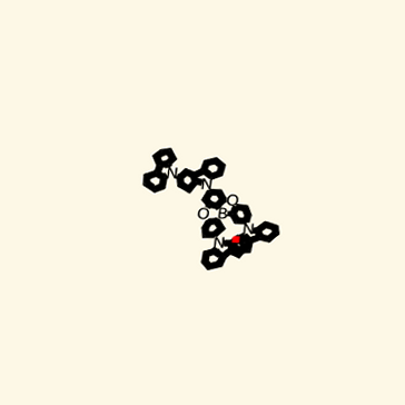 c1ccc2c(c1)c1ccccc1n2-c1ccc2c(c1)B1c3cc(-n4c5ccccc5c5ccccc54)ccc3Oc3cc(-n4c5ccccc5c5cc(-n6c7ccccc7c7ccccc76)ccc54)cc(c31)O2